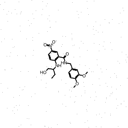 CCC(CO)Nc1ccc([N+](=O)[O-])cc1C(=O)NCc1ccc(OC)c(OC)c1